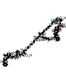 CCc1c2c(nc3ccccc13)-c1cc3c(c(=O)n1C2)COC(=O)[C@@]3(CC)OC(=O)[C@@H](NC(=O)[C@@H]1CCCN1C(=O)[C@H](CC(=O)O)NC(=O)CCOCCOCCOCCNC(=O)CC[C@H](NC(=O)[C@@H](N)CCCCN)C(=O)NCCOCCOCCOCCC(=O)N[C@@H](CC(=O)O)C(=O)N1CCC[C@H]1C(=O)N[C@H](C(=O)O[C@]1(CC)C(=O)OCc2c1cc1n(c2=O)Cc2c-1nc1ccccc1c2CC)C(C)C)C(C)C